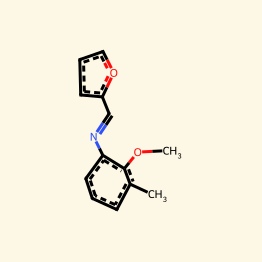 COc1c(C)cccc1N=Cc1ccco1